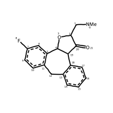 CNCC1OC2c3cc(F)ccc3Cc3ccccc3C2C1=O